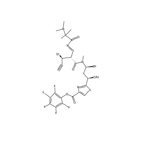 C#C[C@@H](CC)[C@H](/C=N/C(=O)C(C)(C)N(C)C)C(=O)N(C)[C@H](C[C@@H](OC(C)=O)c1nc(C(=O)Oc2c(F)c(F)c(F)c(F)c2F)cs1)C(C)C